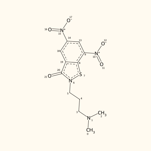 CN(C)CCCn1sc2c([N+](=O)[O-])cc([N+](=O)[O-])cc2c1=O